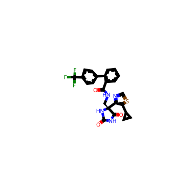 O=C1NC(=O)[C@@](CNC(=O)c2ccccc2-c2ccc(C(F)(F)F)cc2)(c2ncsc2C2CC2)N1